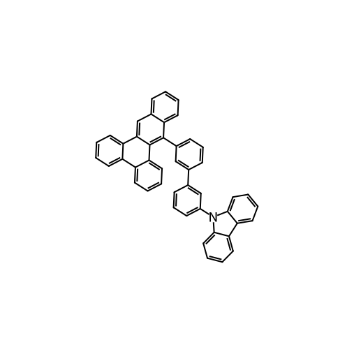 c1cc(-c2cccc(-n3c4ccccc4c4ccccc43)c2)cc(-c2c3ccccc3cc3c4ccccc4c4ccccc4c23)c1